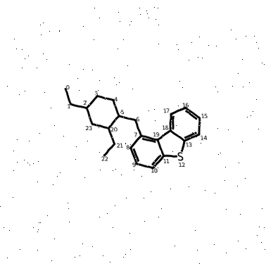 CCC1CCC(Cc2cccc3sc4ccccc4c23)C(CC)C1